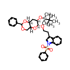 CC(C)(C)[Si](C)(C)O[C@@H]1C[C@H]2OC(c3ccccc3)OC[C@H]2O[C@H]1OCCc1cn(S(=O)(=O)c2ccccc2)c2ccccc12